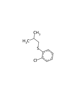 CC(C)CSc1ccccc1Cl